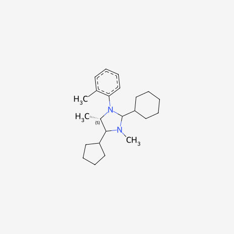 Cc1ccccc1N1C(C2CCCCC2)N(C)C(C2CCCC2)[C@@H]1C